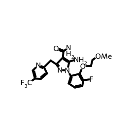 COCCOc1c(F)cccc1-n1nc(Cc2ccc(C(F)(F)F)cn2)c(C(N)=O)c1N